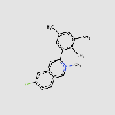 Cc1cc(C)c(C)c(-c2cc3cc(F)ccc3c[n+]2C)c1